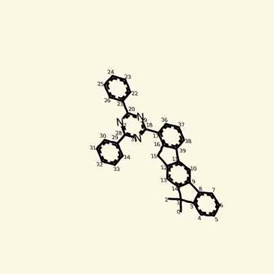 CC1(C)c2ccccc2-c2cc3c(cc21)Cc1c(-c2nc(-c4ccccc4)nc(-c4ccccc4)n2)cccc1-3